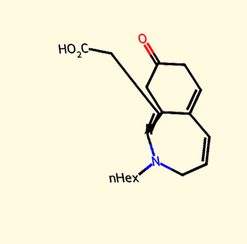 CCCCCCN1CC=CC2=CCC(=O)CC23CC(CC(=O)O)=CC=C13